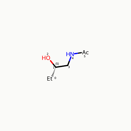 CC[C@H](O)CNC(C)=O